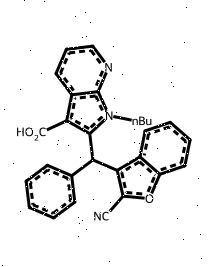 CCCCn1c(C(c2ccccc2)c2c(C#N)oc3ccccc23)c(C(=O)O)c2cccnc21